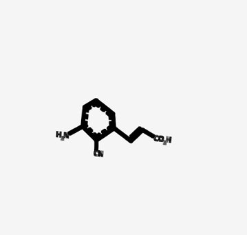 N#Cc1c(N)cccc1C=CC(=O)O